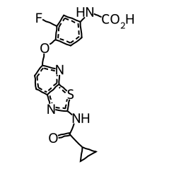 O=C(O)Nc1ccc(Oc2ccc3nc(NC(=O)C4CC4)sc3n2)c(F)c1